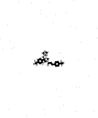 C[C@H]1N(C(=O)C=Cc2ccc(C(F)(F)F)cc2)CO[C@@]1(Cn1cncn1)c1ccc(C(F)(F)F)cc1